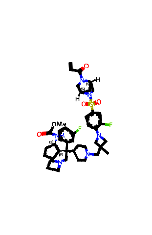 C=CC(=O)N1C[C@@H]2C[C@H]1CN2S(=O)(=O)c1ccc(N2CC(C)(CN3CCC(C(CN4CCC4)(c4cccc(F)c4)[C@H]4CCC[C@@H]4NC(=O)OC)CC3)C2)c(F)c1